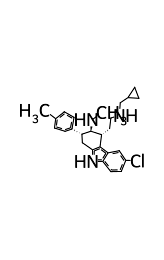 CN[C@@H]1[C@@H](c2ccc(C)cc2)Cc2[nH]c3ccc(Cl)cc3c2[C@H]1CCNCC1CC1